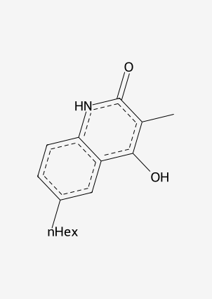 CCCCCCc1ccc2[nH]c(=O)c(C)c(O)c2c1